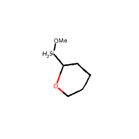 CO[SiH2]C1CCCCO1